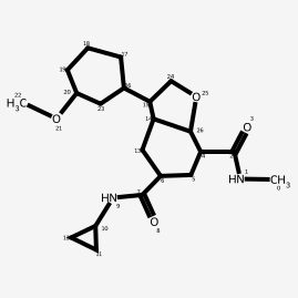 CNC(=O)C1CC(C(=O)NC2CC2)CC2C(C3CCCC(OC)C3)COC12